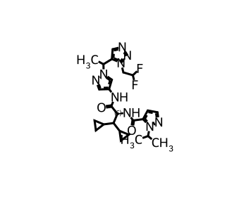 CC(c1cnnn1CC(F)F)n1cc(NC(=O)[C@@H](NC(=O)c2ccnn2C(C)C)C(C2CC2)C2CC2)cn1